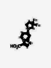 O=C(O)c1cnc2cc(N3CCC(F)(F)C3)ccn12